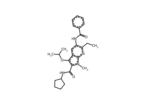 CCc1nc2c(cc1NC(=O)c1ccccc1)c(OC(C)C)c(C(=O)NC1CCCC1)n2C